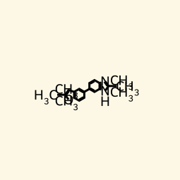 CC(C)(C)c1nc2ccc(-c3ccc4oc(C(C)(C)C)cc4c3)cc2[nH]1